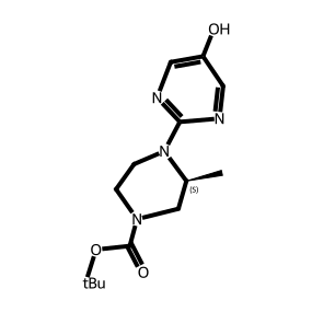 C[C@H]1CN(C(=O)OC(C)(C)C)CCN1c1ncc(O)cn1